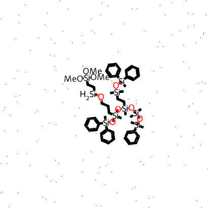 CO[Si](CC[SiH2]OCCC[Si](C)(O[Si](C)(CC[Si](C)(C)O[Si](C)(c1ccccc1)c1ccccc1)O[Si](C)(C)O[Si](C)(C)c1ccccc1)O[Si](C)(c1ccccc1)c1ccccc1)(OC)OC